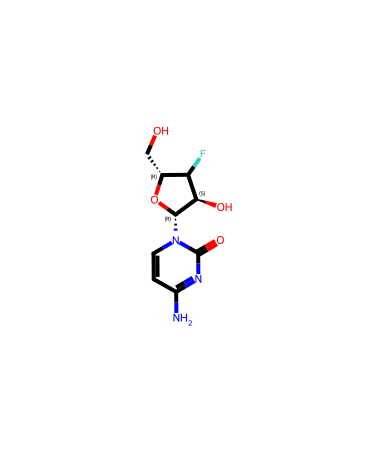 Nc1ccn([C@@H]2O[C@H](CO)C(F)[C@H]2O)c(=O)n1